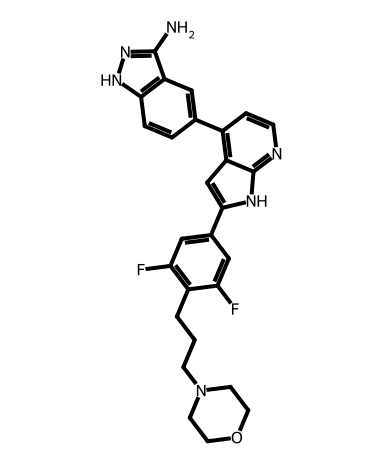 Nc1n[nH]c2ccc(-c3ccnc4[nH]c(-c5cc(F)c(CCCN6CCOCC6)c(F)c5)cc34)cc12